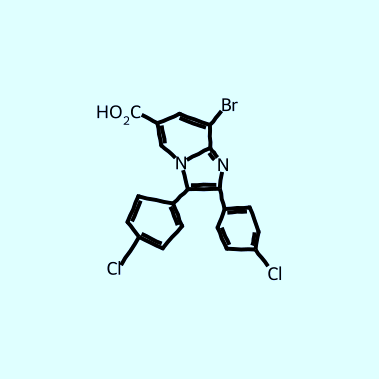 O=C(O)c1cc(Br)c2nc(-c3ccc(Cl)cc3)c(-c3ccc(Cl)cc3)n2c1